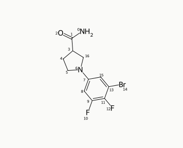 NC(=O)C1CCN(c2cc(F)c(F)c(Br)c2)C1